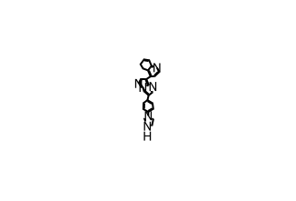 C1=Cc2nccc(-c3cnn4cc(-c5ccc(N6CCNC6)cc5)cnc34)c2CC1